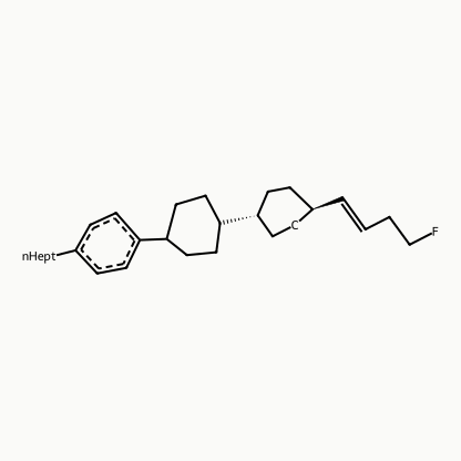 CCCCCCCc1ccc(C2CCC([C@H]3CC[C@H](/C=C/CCF)CC3)CC2)cc1